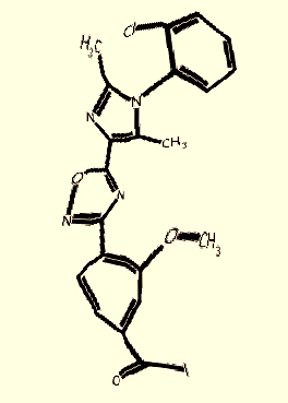 COc1cc(C(=O)I)ccc1-c1noc(-c2nc(C)n(-c3ccccc3Cl)c2C)n1